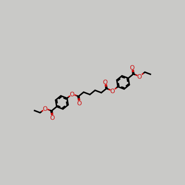 CCOC(=O)c1ccc(OC(=O)CCCCC(=O)Oc2ccc(C(=O)OCC)cc2)cc1